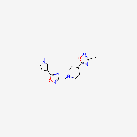 Cc1noc(C2CCN(Cc3noc(C4CCNC4)n3)CC2)n1